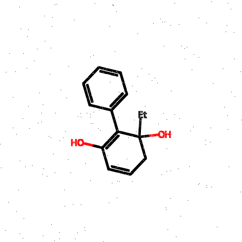 CCC1(O)CC=CC(O)=C1c1ccccc1